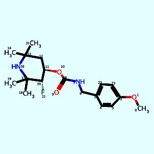 COc1ccc(CNC(=O)O[C@@H]2CC(C)(C)NC(C)(C)[C@H]2F)cc1